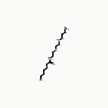 CCCCCCC(=O)NCCOCCOCCCC